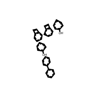 C1=Cc2ccccc21.C1=Cc2ccccc21.Oc1ccccc1.Oc1ccccc1.c1ccc(-c2ccccc2)cc1